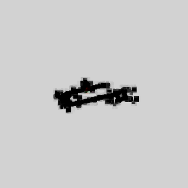 CC(C)[C@H](NC(=O)CCCCC(=O)NCCOCCOCCOCCOCCOCCNC(=O)CCC(C(=O)O)N1CCN(CC(=O)O)CCN(CC(=O)O)CCN(CC(=O)O)CC1)C(=O)N[C@@H](CCCNC(N)=O)C(=O)Nc1ccc(COC(=O)NCCOCC(OCCNC(=O)CCCCC=O)Oc2c(F)c(F)cc(F)c2F)cc1